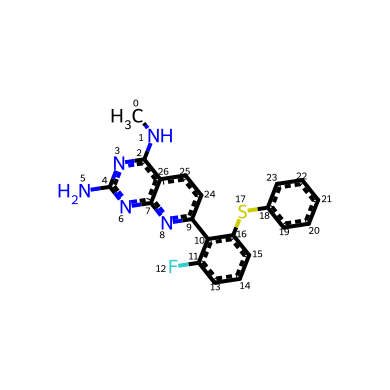 CNc1nc(N)nc2nc(-c3c(F)cccc3Sc3ccccc3)ccc12